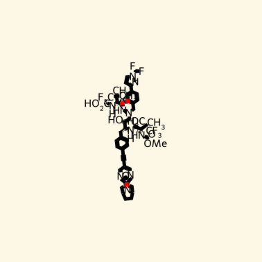 COC(=O)N[C@H](C(=O)N[C@@H](Cc1ccc(C#Cc2cnc(N3CC4CCC(C3)N4C3COC3)nc2)cc1)[C@@H](O)CN(Cc1ccc(-c2ccn(C(F)F)n2)cc1F)NC(=O)[C@@H](NC(=O)O)C(C)(C)C(F)(F)F)C(C)(C)C(F)(F)F